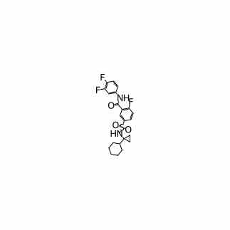 O=C(Nc1ccc(F)c(F)c1)c1cc(S(=O)(=O)NC2(C3CCCCC3)CC2)ccc1F